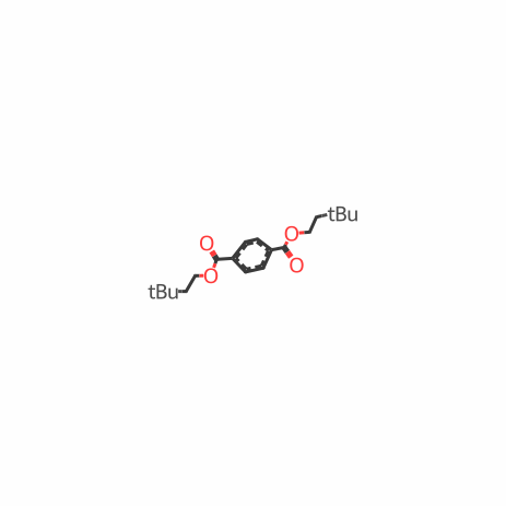 CC(C)(C)CCOC(=O)c1ccc(C(=O)OCCC(C)(C)C)cc1